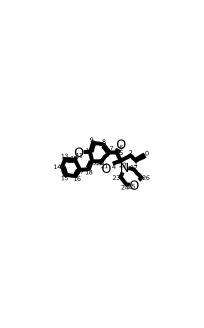 C=CCC(C)(C(=O)c1ccc2oc3ccccc3cc-2c1=O)N1CCOCC1